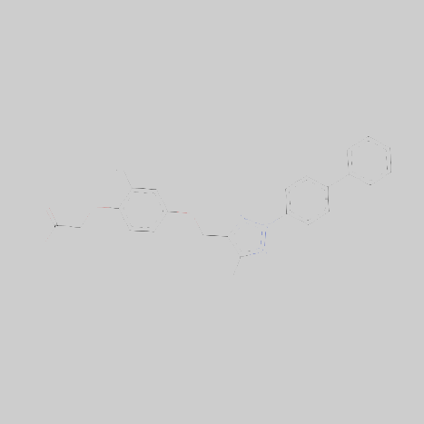 Cc1cc(OCc2nn(-c3ccc(-c4ccccc4)cc3)nc2C)ccc1OCC(=O)O